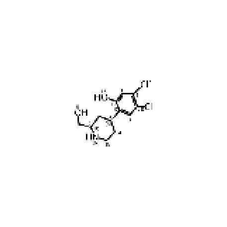 OC[C@H]1C[C@@H](c2cc(Cl)c(Cl)cc2O)CCN1